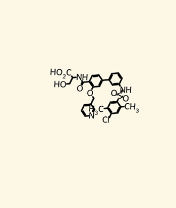 Cc1cc(S(=O)(=O)Nc2cccc(-c3ccc(C(=O)NC(CO)C(=O)O)c(OCc4cccnc4)c3)c2)c(C)cc1Cl